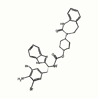 Nc1c(Br)cc(C[C@@H](NC(=O)ON2CCC(N3CCc4ccccc4NC3=O)CC2)c2nc3ccccc3[nH]2)cc1Br